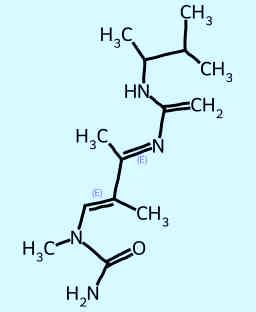 C=C(/N=C(C)/C(C)=C/N(C)C(N)=O)NC(C)C(C)C